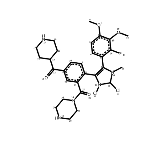 COc1ccc(C2=C(c3ccc(C(=O)C4CCNCC4)cc3C(=O)N3CCNCC3)N(Cl)C(Cl)N2C)c(F)c1OC